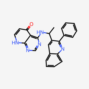 CC(Nc1ncnc2[nH]ccc(=O)c12)c1cc2ccccc2nc1-c1ccccc1